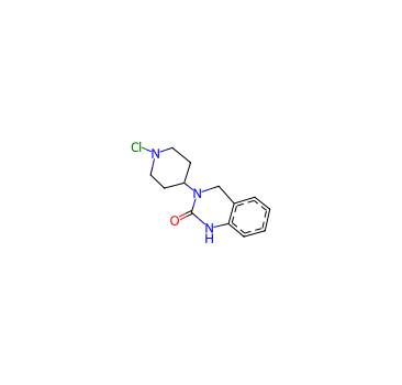 O=C1Nc2ccccc2CN1C1CCN(Cl)CC1